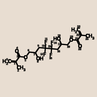 C=C(C)C(=O)OCC(O)CC(F)(F)C(F)(F)CC(O)COC(=O)C(=C)C